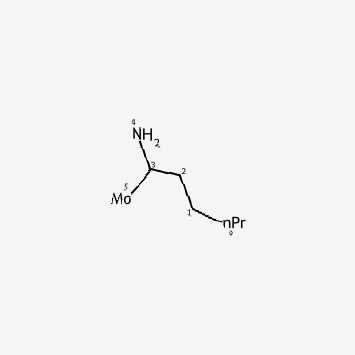 CCCCC[CH](N)[Mo]